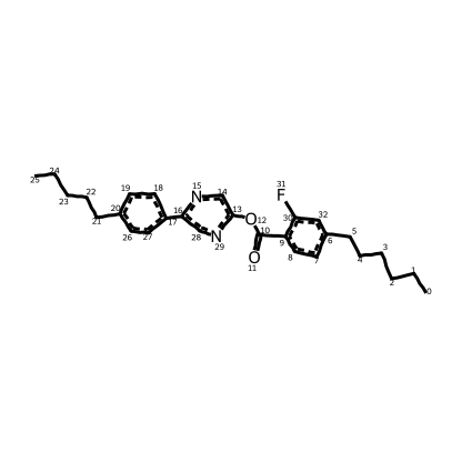 CCCCCCc1ccc(C(=O)Oc2cnc(-c3ccc(CCCCC)cc3)cn2)c(F)c1